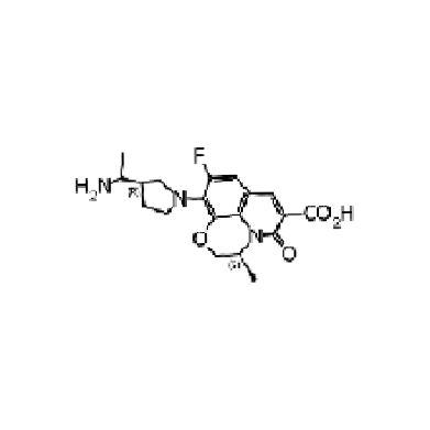 CC(N)[C@@H]1CCN(c2c(F)cc3cc(C(=O)O)c(=O)n4c3c2OC[C@@H]4C)C1